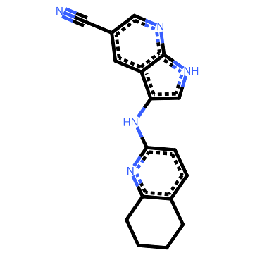 N#Cc1cnc2[nH]cc(Nc3ccc4c(n3)CCCC4)c2c1